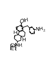 CCONC1CC[C@@H]2c3ccc(O)c(Cc4cccc(N)c4)c3CC[C@@H]2C1